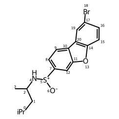 CC(C)CC(C)N[S+]([O-])c1ccc2c(c1)oc1ccc(Br)cc12